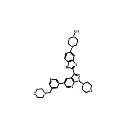 CN1CCN(c2ccc3[nH]c(-c4nn(N5CCOCC5)c5ncc(-c6cncc(CN7CCOCC7)c6)cc45)nc3c2)CC1